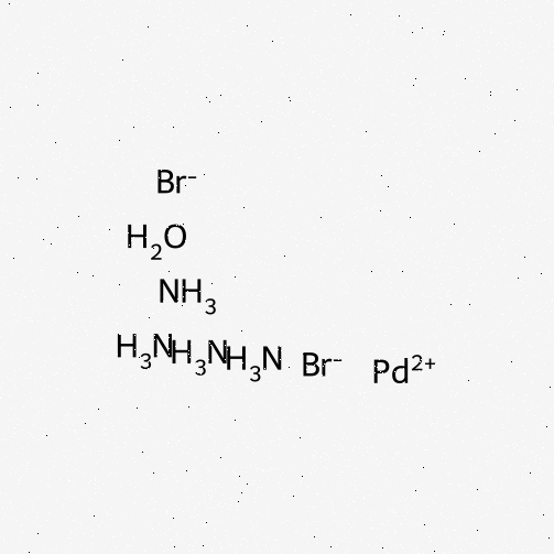 N.N.N.N.O.[Br-].[Br-].[Pd+2]